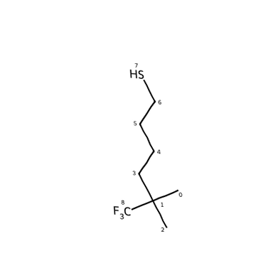 CC(C)(CCCCS)C(F)(F)F